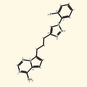 Nc1ncnn2c(CCCc3cn(-c4ccccc4F)nn3)ccc12